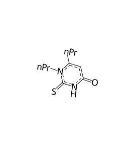 CCCc1cc(=O)[nH]c(=S)n1CCC